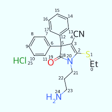 CCSC1=C(C#N)C(c2ccccc2)(c2ccccc2)C(=O)N1CCCN.Cl